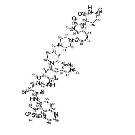 COc1cc(N2CCC(CN3CCN(c4cccc5c4n(C)c(=O)n5C4CCC(=O)NC4=O)CC3)CC2)c(-c2cnn(C)c2)cc1Nc1ncc(Br)c(Nc2ccc3nccnc3c2N(C)S(C)(=O)=O)n1